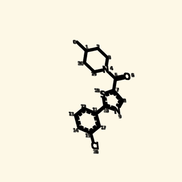 CC1CCN(C(=O)c2cnc(-c3cccc(Cl)c3)s2)CC1